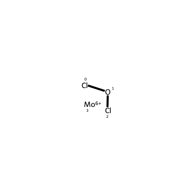 ClOCl.[Mo+6]